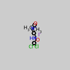 C[N+](C)(Cc1ccc(CNC(=O)c2ccc(Cl)c(Cl)c2)cc1)C1CCOCC1.[I-]